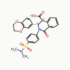 CN(C)S(=O)(=O)c1ccc(N2C(=O)c3ccccc3[C@H](C(=O)O)[C@H]2c2ccc3c(c2)OCCO3)cc1